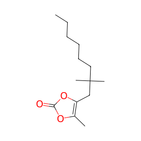 CCCCCCC(C)(C)Cc1oc(=O)oc1C